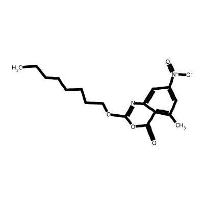 CCCCCCCCOc1nc2cc([N+](=O)[O-])cc(C)c2c(=O)o1